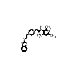 Cc1cc(C(F)(F)F)c(NC(=O)CN2CCN(CCSc3nc4ccccc4s3)CC2)c(C)n1